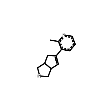 Cc1ncccc1C1=CC2CNCC2C1